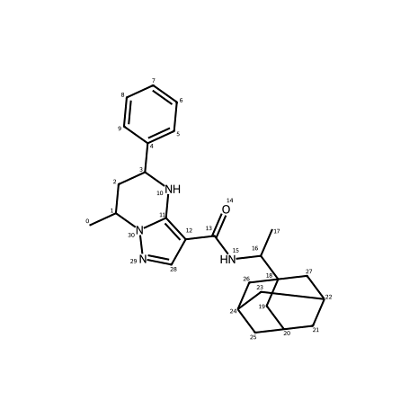 CC1CC(c2ccccc2)Nc2c(C(=O)NC(C)C34CC5CC(CC(C5)C3)C4)cnn21